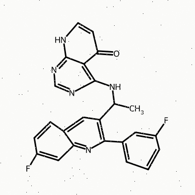 CC(Nc1ncnc2[nH]ccc(=O)c12)c1cc2ccc(F)cc2nc1-c1cccc(F)c1